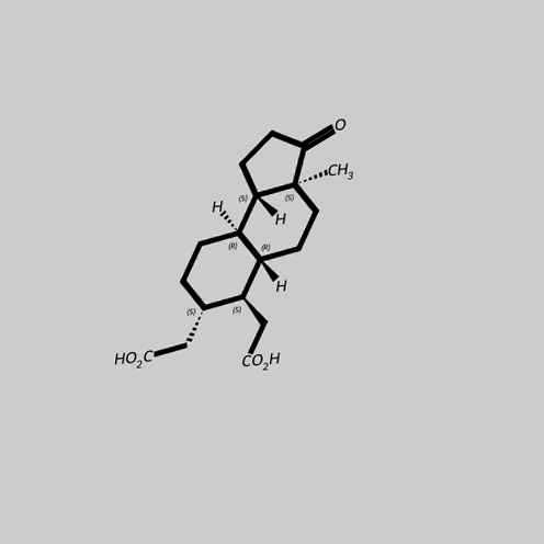 C[C@]12CC[C@H]3[C@@H](CC[C@@H](CC(=O)O)[C@@H]3CC(=O)O)[C@@H]1CCC2=O